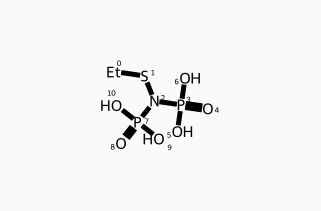 CCSN(P(=O)(O)O)P(=O)(O)O